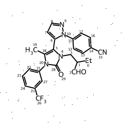 CCC(C=O)Cn1c(-c2ccnn2-c2ccc(C#N)cc2)c(C)n(-c2cccc(C(F)(F)F)c2)c1=O